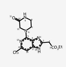 CCOC(=O)Cc1nc2c(N3CCNC(=O)C3)nc(Cl)cc2[nH]1